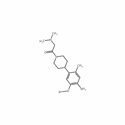 Cc1cc(N)c(OC(C)C)cc1C1CCN(C(=O)CN(C)C)CC1